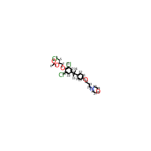 CC(=O)O[C@@H](CCl)COc1c(Cl)cc(C(C)(C)c2ccc(OCCCN3CCOCC3)cc2)cc1Cl